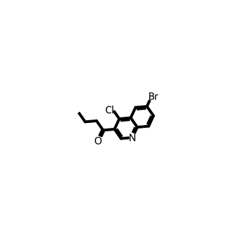 CCCC(=O)c1cnc2ccc(Br)cc2c1Cl